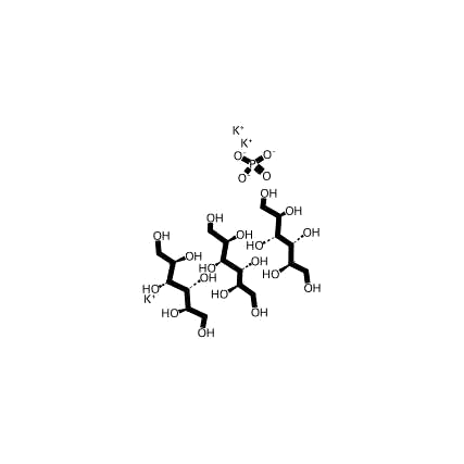 O=P([O-])([O-])[O-].OC[C@@H](O)[C@@H](O)[C@H](O)[C@H](O)CO.OC[C@@H](O)[C@@H](O)[C@H](O)[C@H](O)CO.OC[C@@H](O)[C@@H](O)[C@H](O)[C@H](O)CO.[K+].[K+].[K+]